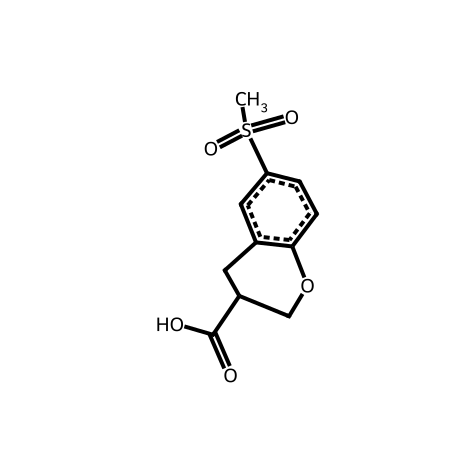 CS(=O)(=O)c1ccc2c(c1)CC(C(=O)O)CO2